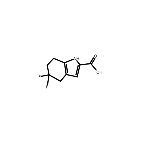 O=C(O)c1cc2c([nH]1)CCC(F)(F)C2